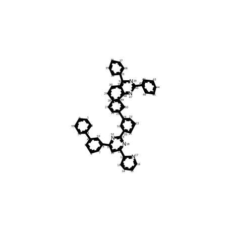 c1ccc(-c2cccc(-c3cc(-c4ccccn4)nc(-c4cccc(-c5ccc6ccc7c(-c8ccccc8)nc(-c8ccccc8)nc7c6c5)c4)n3)c2)cc1